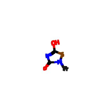 CC(C)n1sc(O)nc1=O